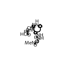 CNC(=O)N1CC[C@H](NC(=O)Nc2ccc3cc2CCc2cccc(c2)Nc2ncc(Cl)c(n2)N3)C1.O=C(O)C(F)(F)F